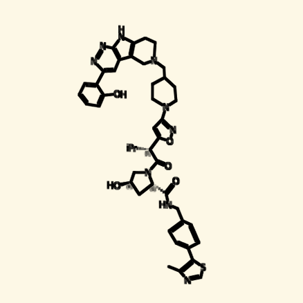 Cc1ncsc1-c1ccc(CNC(=O)[C@@H]2C[C@@H](O)CN2C(=O)[C@@H](c2cc(N3CCC(CN4CCc5[nH]c6nnc(-c7ccccc7O)cc6c5C4)CC3)no2)C(C)C)cc1